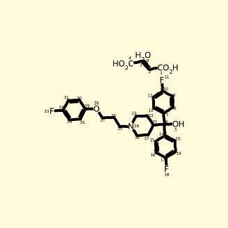 O.O=C(O)C=CC(=O)O.OC(c1ccc(F)cc1)(c1ccc(F)cc1)C1CCN(CCCOc2ccc(F)cc2)CC1